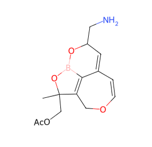 CC(=O)OCC1(C)OB2OC(CN)C=C3C=COCC1=C23